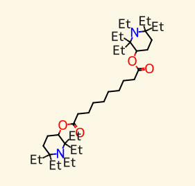 CCN1C(CC)(CC)CCC(OC(=O)CCCCCCCCC(=O)OC2CCC(CC)(CC)N(CC)C2(CC)CC)C1(CC)CC